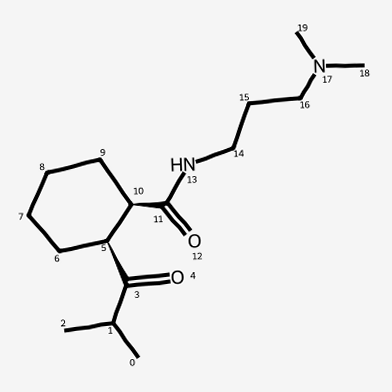 CC(C)C(=O)[C@H]1CCCC[C@H]1C(=O)NCCCN(C)C